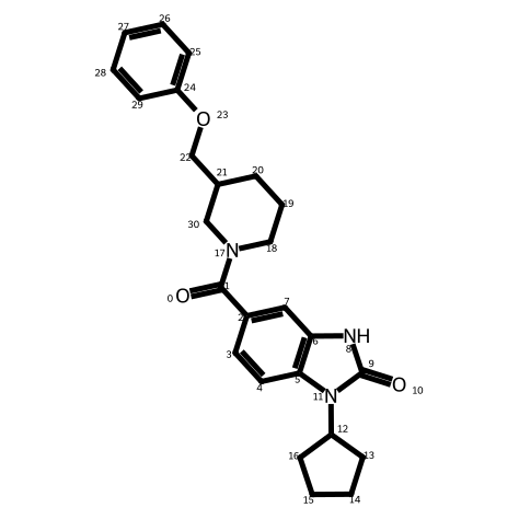 O=C(c1ccc2c(c1)[nH]c(=O)n2C1CCCC1)N1CCCC(COc2ccccc2)C1